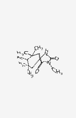 CC(=O)C1C(C)(C)CC2(CC1(C)C)NC(=O)N(C)C2=O